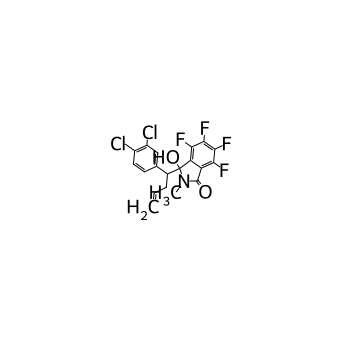 C=CCC(c1ccc(Cl)c(Cl)c1)C1(O)c2c(F)c(F)c(F)c(F)c2C(=O)N1C